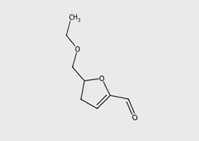 CCOCC1CC=C(C=O)O1